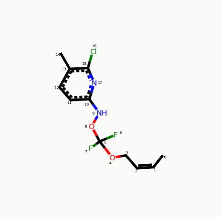 C/C=C\COC(F)(F)ONc1ccc(C)c(Cl)n1